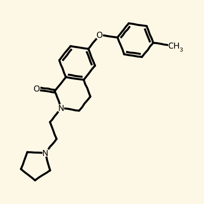 Cc1ccc(Oc2ccc3c(c2)CCN(CCN2CCCC2)C3=O)cc1